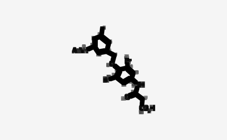 CC(=O)Nc1cc(C)cc(COc2c(Br)cc(NC(=O)CC(=O)O)cc2Br)c1